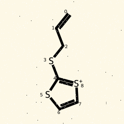 C=CCSc1scc[s+]1